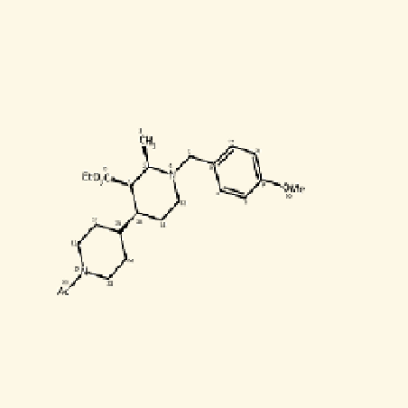 CCOC(=O)[C@H]1[C@@H](C)N(Cc2ccc(OC)cc2)CC[C@H]1C1CCN(C(C)=O)CC1